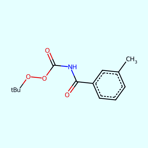 Cc1cccc(C(=O)NC(=O)OOC(C)(C)C)c1